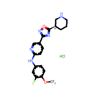 Cl.Fc1cc(Nc2ccc(-c3noc([C@@H]4CCCNC4)n3)cn2)ccc1OC(F)(F)F